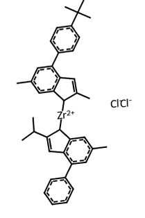 CC1=Cc2c(-c3ccc(C(C)(C)C)cc3)cc(C)cc2[CH]1[Zr+2][CH]1C(C(C)C)=Cc2c(-c3ccccc3)cc(C)cc21.[Cl-].[Cl-]